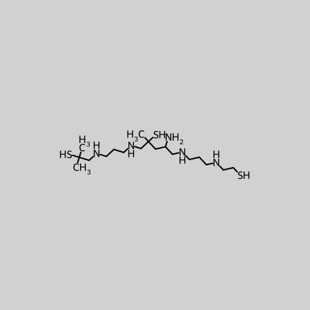 CC(C)(S)CNCCCNCC(C)(S)CC(N)CNCCCNCCS